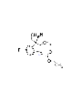 CCOC(=O)/C=C/c1ccc(F)cc1C(C#N)(CC)CC